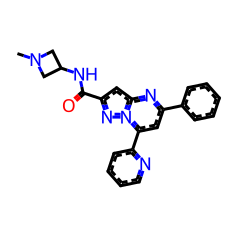 CN1CC(NC(=O)c2cc3nc(-c4ccccc4)cc(-c4ccccn4)n3n2)C1